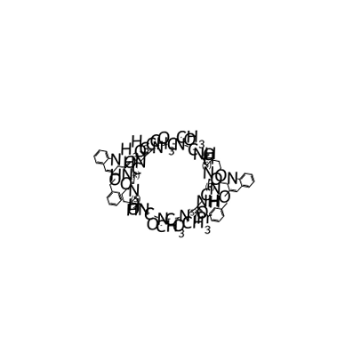 CC(C)[C@H]1C(=O)NC[C@@H](NC(=O)c2nc3ccccc3cc2OCc2ccccc2)C(=O)N2CCCC[C@H]2C(=O)NCC(=O)N(C)CC(=O)N(C)C(C)(C)C(=O)NC[C@@H](NC(=O)c2nc3ccccc3cc2OCc2ccccc2)C(=O)N2CCCC[C@H]2C(=O)NCC(=O)N(C)CC(=O)N1C